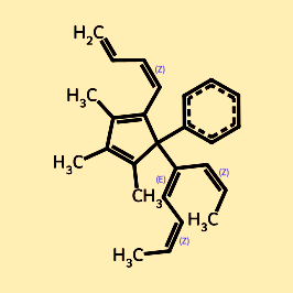 C=C/C=C\C1=C(C)C(C)=C(C)C1(C(/C=C\C)=C/C=C\C)c1ccccc1